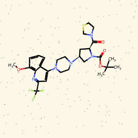 COc1cccc2c(N3CCN([C@H]4C[C@@H](C(=O)N5CCSC5)N(C(=O)OC(C)(C)C)C4)CC3)cc(C(F)(F)F)nc12